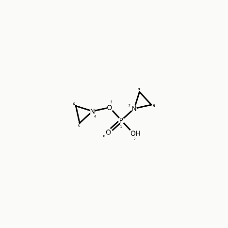 O=P(O)(ON1CC1)N1CC1